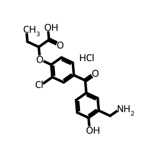 CCC(Oc1ccc(C(=O)c2ccc(O)c(CN)c2)cc1Cl)C(=O)O.Cl